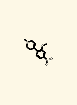 COc1cc([N+](=O)[O-])ccc1C1=CCN(C)CC1